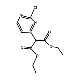 CCOC(=O)C(C(=O)OCC)c1ccnc(Cl)n1